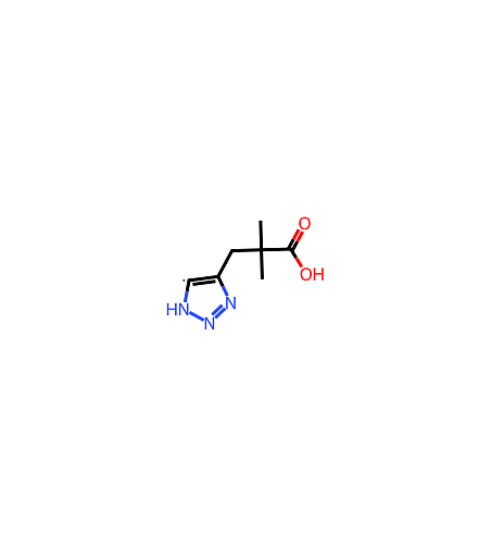 CC(C)(Cc1[c][nH]nn1)C(=O)O